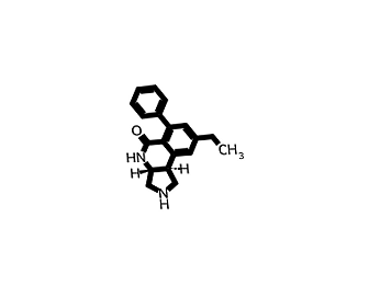 CCc1cc(-c2ccccc2)c2c(c1)[C@H]1CNC[C@@H]1NC2=O